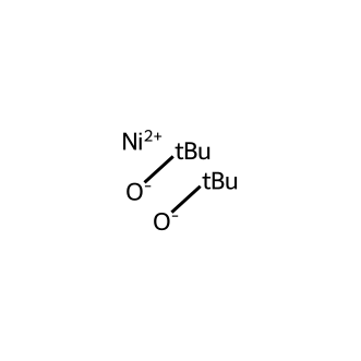 CC(C)(C)[O-].CC(C)(C)[O-].[Ni+2]